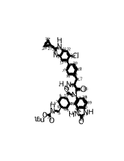 CC(C)(C)OC(=O)NC[C@H]1CC[C@H](C(=O)N(C(=O)[C@@H](N)Cc2ccc(-c3cc4nc(C5CC5)[nH]c4cc3Cl)cc2)c2ccc3[nH]c(=O)[nH]c3c2)CC1